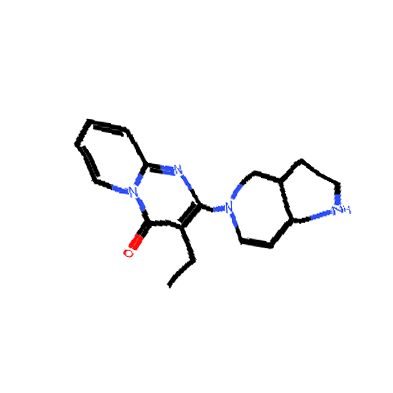 CCc1c(N2CCC3NCCC3C2)nc2ccccn2c1=O